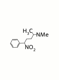 CNC(C)CCC(c1ccccc1)[N+](=O)[O-]